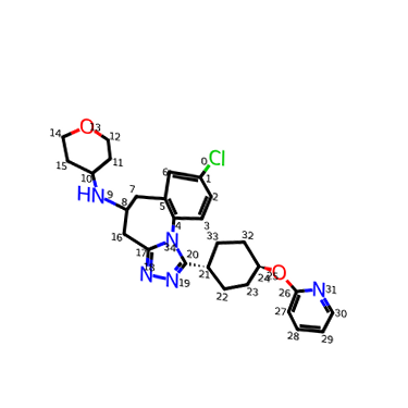 Clc1ccc2c(c1)CC(NC1CCOCC1)Cc1nnc([C@H]3CC[C@H](Oc4ccccn4)CC3)n1-2